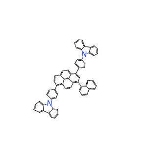 c1ccc2c(-c3cc(-c4ccc(-n5c6ccccc6c6ccccc65)cc4)c4ccc5ccc(-c6ccc(-n7c8ccccc8c8ccccc87)cc6)c6ccc3c4c56)cccc2c1